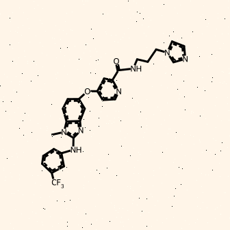 Cn1c(Nc2cccc(C(F)(F)F)c2)nc2cc(Oc3ccnc(C(=O)NCCCn4ccnc4)c3)ccc21